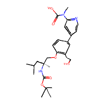 CC(C)C[C@@](C)(COc1ccc(-c2ccnc(N(C)C(=O)O)c2)cc1CO)NC(=O)OC(C)(C)C